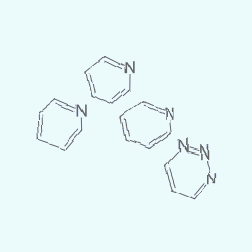 c1ccncc1.c1ccncc1.c1ccncc1.c1cnnnc1